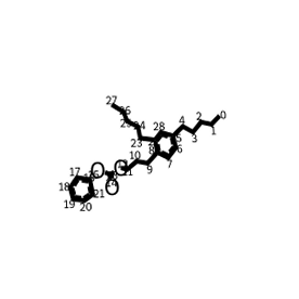 CCCCCc1ccc(CCCOC(=O)Oc2ccccc2)c(CCCCC)c1